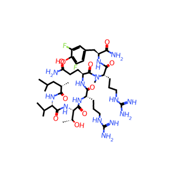 CC(C)C[C@H](C)C(=O)N[C@H](C(=O)N[C@H](C(=O)N[C@@H](CCCNC(=N)N)C(=O)N[C@@H](CCC(N)=O)C(=O)N(C)[C@@H](CCCNC(=N)N)C(=O)N[C@@H](Cc1cc(F)c(O)c(F)c1)C(N)=O)[C@@H](C)O)C(C)C